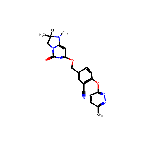 Cc1ccc(Oc2ccc(COc3cc4n(c(=O)n3)CC(C)(C)N4C)cc2C#N)nn1